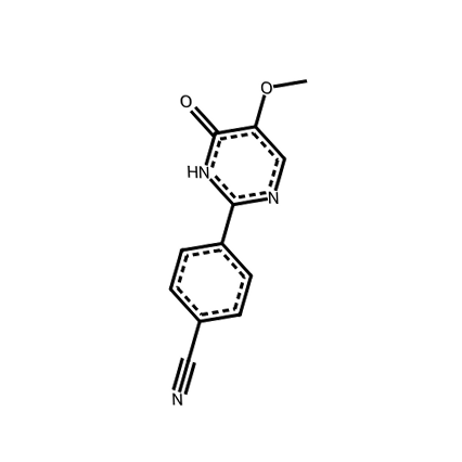 COc1cnc(-c2ccc(C#N)cc2)[nH]c1=O